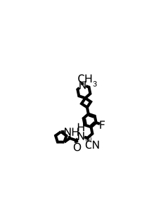 CN1CCC2(CC1)CC(c1ccc(C[C@@H](C#N)NC(=O)C3NC4CCC3C4)c(F)c1)C2